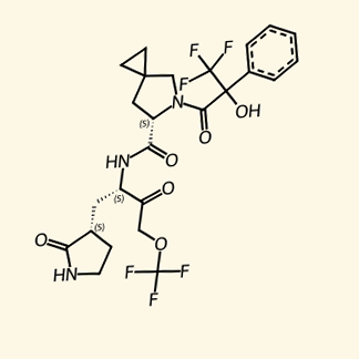 O=C1NCC[C@H]1C[C@H](NC(=O)[C@@H]1CC2(CC2)CN1C(=O)C(O)(c1ccccc1)C(F)(F)F)C(=O)COC(F)(F)F